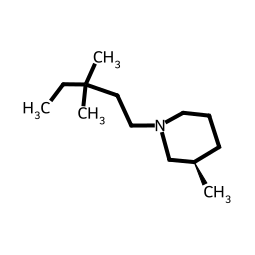 CCC(C)(C)CCN1CCC[C@@H](C)C1